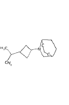 CC(C)C1CC(N2CC3CCCC2CC3)C1